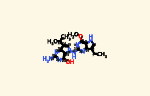 CCc1c[nH]c2c(OC)nc(Nn3cc(C(C)C)c4nc(N)nc(O)c43)nc12